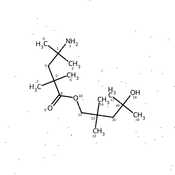 CC(C)(N)CC(C)(C)C(=O)OCC(C)(C)CC(C)(C)O